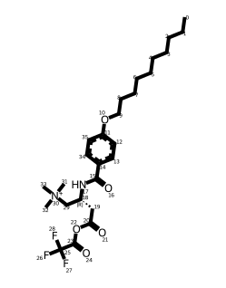 CCCCCCCCCCOc1ccc(C(=O)N[C@H](CC(=O)OC(=O)C(F)(F)F)C[N+](C)(C)C)cc1